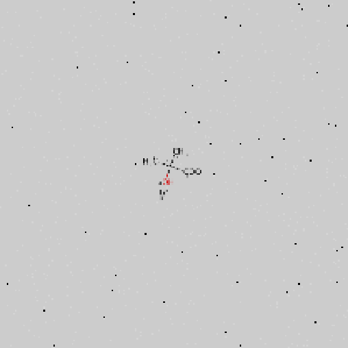 CC(C)(O)C(=O)[O-].[Li+]